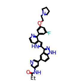 CCC(=O)Nc1cncc(-c2ccc3[nH]nc(-c4cc5c(-c6cc(F)cc(OCCN7CCCC7)c6)nccc5[nH]4)c3c2)c1